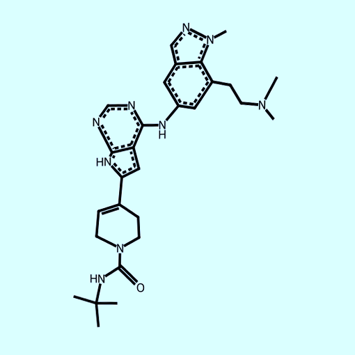 CN(C)CCc1cc(Nc2ncnc3[nH]c(C4=CCN(C(=O)NC(C)(C)C)CC4)cc23)cc2cnn(C)c12